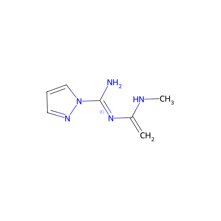 C=C(/N=C(\N)n1cccn1)NC